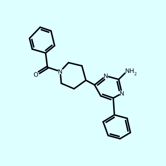 Nc1nc(-c2ccccc2)cc(C2CCN(C(=O)c3ccccc3)CC2)n1